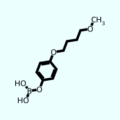 COCCCCOc1ccc(OB(O)O)cc1